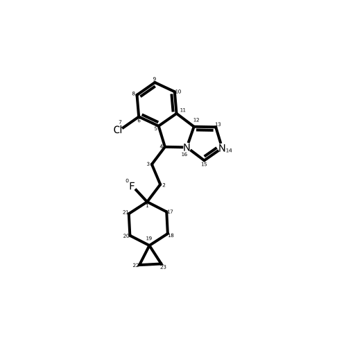 FC1(CCC2c3c(Cl)cccc3-c3cncn32)CCC2(CC1)CC2